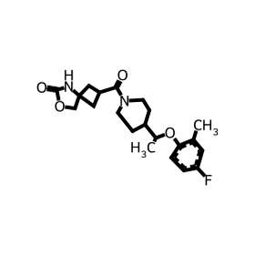 Cc1cc(F)ccc1OC(C)C1CCN(C(=O)C2CC3(COC(=O)N3)C2)CC1